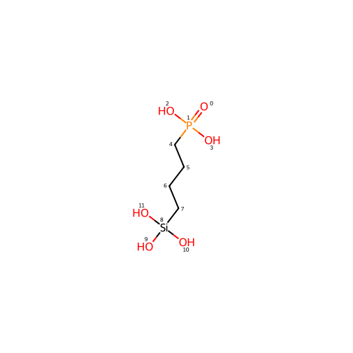 O=P(O)(O)CCCC[Si](O)(O)O